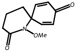 CON1C(=O)CCCC12C=CC(=O)C=C2